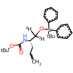 [2H]C([2H])(O[Si](c1ccccc1)(c1ccccc1)C(C)(C)C)[C@H](CC=C)NC(=O)OC(C)(C)C